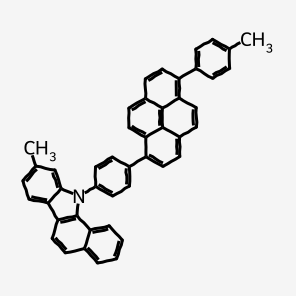 Cc1ccc(-c2ccc3ccc4c(-c5ccc(-n6c7cc(C)ccc7c7ccc8ccccc8c76)cc5)ccc5ccc2c3c54)cc1